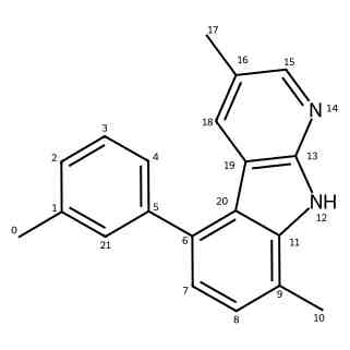 Cc1cccc(-c2ccc(C)c3[nH]c4ncc(C)cc4c23)c1